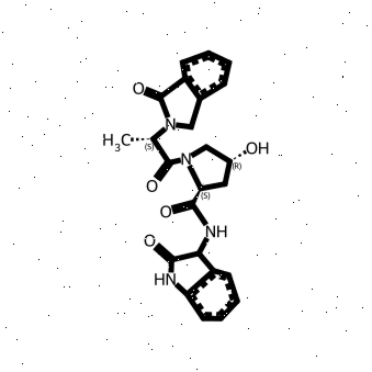 C[C@@H](C(=O)N1C[C@H](O)C[C@H]1C(=O)NC1C(=O)Nc2ccccc21)N1Cc2ccccc2C1=O